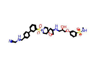 CNS(=O)(=O)c1cccc(OCC(O)CNC2COC3(CCN(S(=O)(=O)c4cccc(-c5ccc(CNCC#N)cc5)c4)CC3)C2)c1